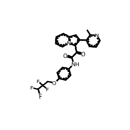 Cc1ncccc1-c1cc2ccccn2c1C(=O)C(=O)Nc1ccc(OCC(F)(F)C(F)F)cc1